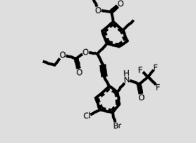 CCOC(=O)OC(C#Cc1cc(Cl)c(Br)cc1NC(=O)C(F)(F)F)c1ccc(C)c(C(=O)OC)c1